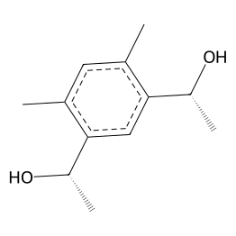 Cc1cc(C)c([C@@H](C)O)cc1[C@H](C)O